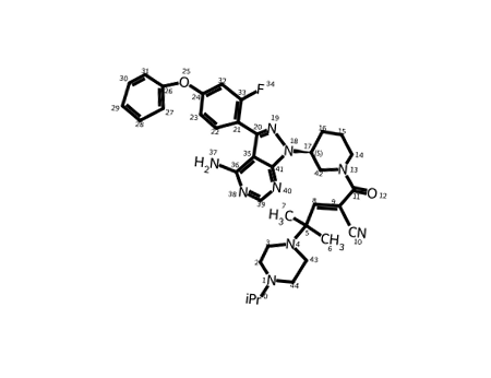 CC(C)N1CCN(C(C)(C)C=C(C#N)C(=O)N2CCC[C@H](n3nc(-c4ccc(Oc5ccccc5)cc4F)c4c(N)ncnc43)C2)CC1